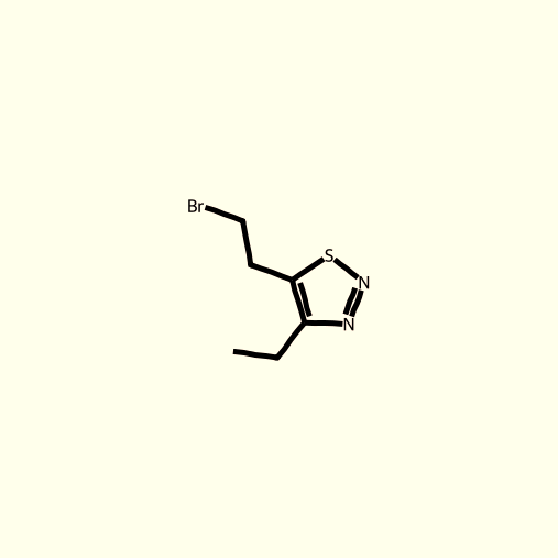 CCc1nnsc1CCBr